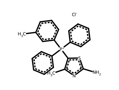 Cc1cccc([P+](c2ccccc2)(c2ccccc2)c2sc(N)nc2C)c1.[Cl-]